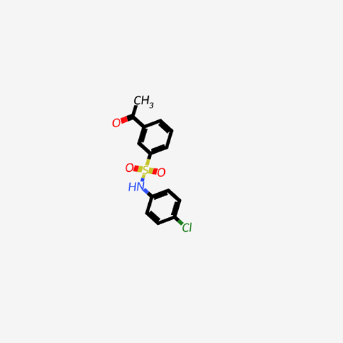 CC(=O)c1cccc(S(=O)(=O)Nc2ccc(Cl)cc2)c1